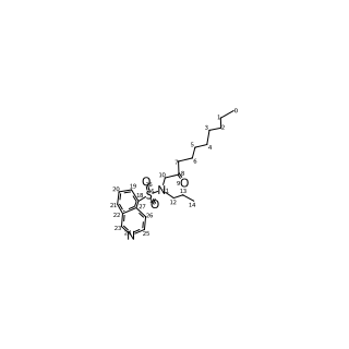 CCCCCCCCC(=O)CN(CCC)S(=O)(=O)c1cccc2cnccc12